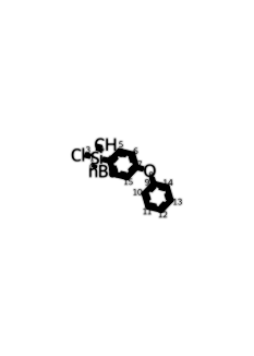 CCCC[Si](C)(Cl)c1ccc(Oc2ccccc2)cc1